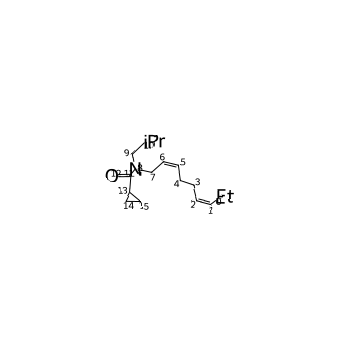 CC/C=C\CC/C=C\CN(CC(C)C)C(=O)C1CC1